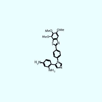 COc1cc2nc(-c3ccc(-n4cncc4-c4ccc(N)cc4N)cc3)sc2c(OC)c1OC